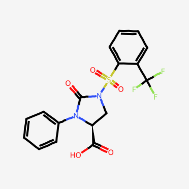 O=C(O)[C@@H]1CN(S(=O)(=O)c2ccccc2C(F)(F)F)C(=O)N1c1ccccc1